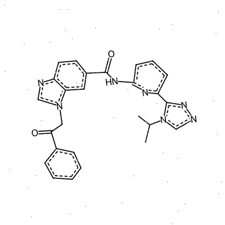 CC(C)n1cnnc1-c1cccc(NC(=O)c2ccc3ncn(CC(=O)c4ccccc4)c3c2)n1